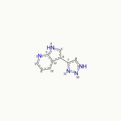 c1cnc2[nH]cc(-c3c[nH]nn3)c2c1